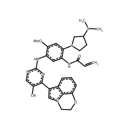 C=CC(=O)Nc1cc(Nc2ncc(C#N)c(-c3cn4c5c(cccc35)OCC4)n2)c(OC)cc1N1CCC(N(C)C)C1